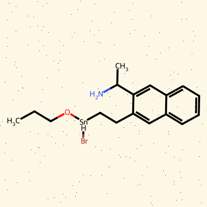 CCC[O][SnH]([Br])[CH2]Cc1cc2ccccc2cc1C(C)N